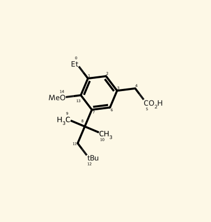 CCc1cc(CC(=O)O)cc(C(C)(C)CC(C)(C)C)c1OC